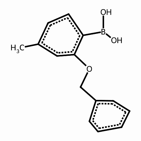 Cc1ccc(B(O)O)c(OCc2ccccc2)c1